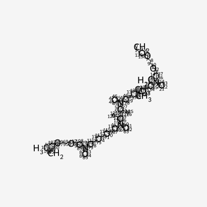 C=Cc1ccc(OCCCCOCC2=CC(=C)C(N(c3ccccc3)c3ccc(C4=CCC(C)(C5(C)C=CC(c6ccc(N(c7ccccc7)c7ccc(-c8ccc(N(c9ccccc9)c9ccc(-c%10ccc(-c%11ccc(-c%12ccc(N(c%13ccccc%13)c%13ccc(COCCCCOC%14=CCC(C)(C=C)C=C%14)cc%13)cc%12)cc%11)cc%10)cc9)cc8C8CC8)c(C8CC8)c7)cc6)=CC5)C=C4)cc3)C=C2)cc1